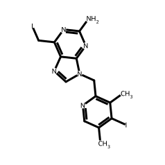 Cc1cnc(Cn2cnc3c(CI)nc(N)nc32)c(C)c1I